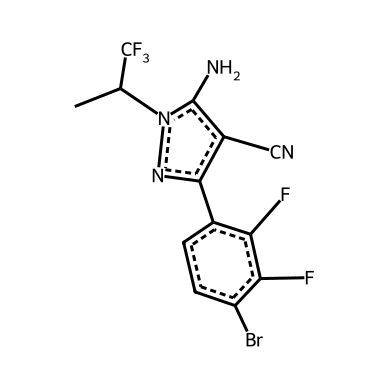 CC(n1nc(-c2ccc(Br)c(F)c2F)c(C#N)c1N)C(F)(F)F